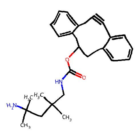 CC(C)(N)CC(C)(C)CNC(=O)OC1Cc2ccccc2C#Cc2ccccc21